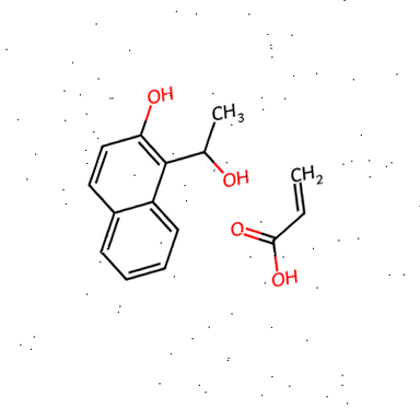 C=CC(=O)O.CC(O)c1c(O)ccc2ccccc12